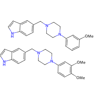 COc1ccc(N2CCN(Cc3ccc4[nH]ccc4c3)CC2)cc1OC.COc1cccc(N2CCN(Cc3ccc4[nH]ccc4c3)CC2)c1